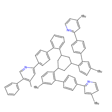 Cc1cc(-c2ccc(-c3ccccc3C3CC(c4ccc(C(C)(C)C)cc4-c4ccc(-c5cc(C(C)(C)C)ccn5)cc4)CC(c4ccc(C(C)(C)C)cc4-c4ccc(-c5cc(C(C)(C)C)ccn5)cc4)C3)cc2)ncc1-c1ccccc1